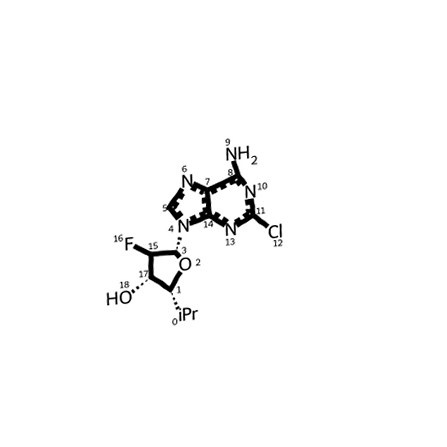 CC(C)[C@H]1O[C@@H](n2cnc3c(N)nc(Cl)nc32)C(F)[C@H]1O